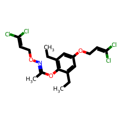 CCc1cc(OCC=C(Cl)Cl)cc(CC)c1OC(C)=NOCC=C(Cl)Cl